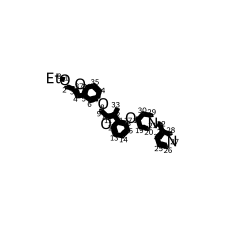 CCOCc1cc2cc(OCc3oc4cccc(OC5CCN(Cc6cccnc6)CC5)c4c3C)ccc2o1